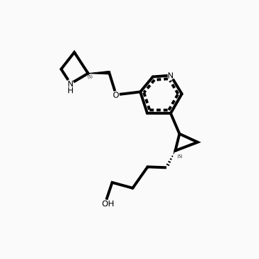 OCCCC[C@H]1CC1c1cncc(OC[C@@H]2CCN2)c1